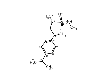 CNS(=O)(=O)N(C)CC(C)c1ccc(C(C)C)cc1